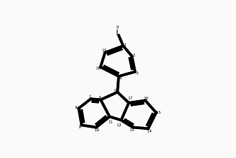 Ic1ccc(C2c3ccccc3-c3ccccc32)cc1